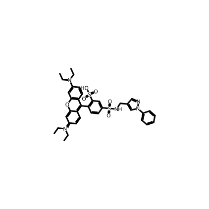 CCN(CC)c1ccc2c(-c3ccc(S(=O)(=O)NCc4cnn(-c5ccccc5)c4)cc3S(=O)(=O)O)c3ccc(=[N+](CC)CC)cc-3oc2c1